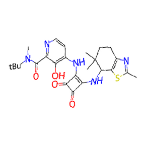 Cc1nc2c(s1)C(Nc1c(Nc3ccnc(C(=O)N(C)C(C)(C)C)c3O)c(=O)c1=O)C(C)(C)CC2